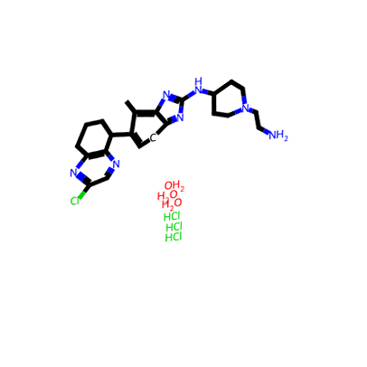 CC1=C2N=C(NC3CCN(CCN)CC3)N=C2CC=C1C1CCCc2nc(Cl)cnc21.Cl.Cl.Cl.O.O.O